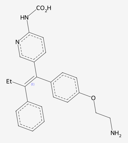 CC/C(=C(/c1ccc(OCCN)cc1)c1ccc(NC(=O)O)nc1)c1ccccc1